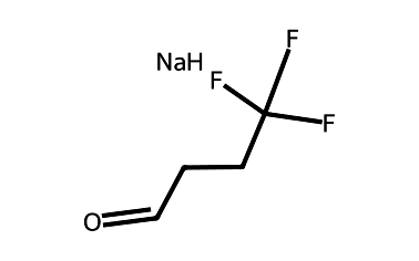 O=CCCC(F)(F)F.[NaH]